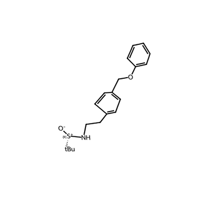 CC(C)(C)[S@+]([O-])NCCc1ccc(COc2ccccc2)cc1